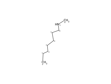 CCCCCC[CH]NC